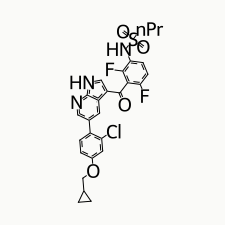 CCCS(=O)(=O)Nc1ccc(F)c(C(=O)c2c[nH]c3ncc(-c4ccc(OCC5CC5)cc4Cl)cc23)c1F